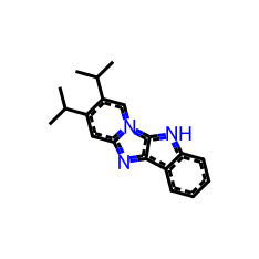 CC(C)c1cc2nc3c4ccccc4[nH]c3n2cc1C(C)C